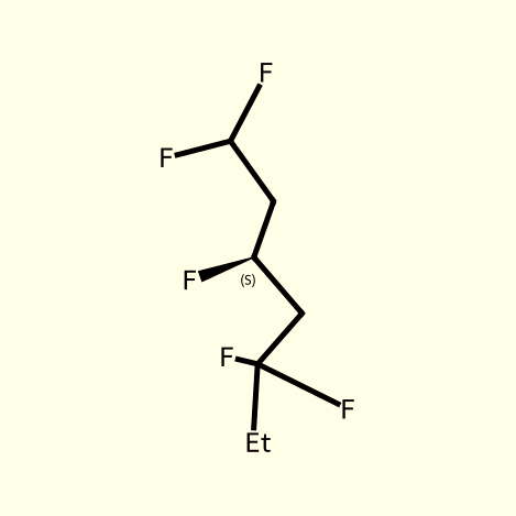 [CH2]CC(F)(F)C[C@@H](F)CC(F)F